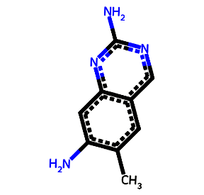 Cc1cc2cnc(N)nc2cc1N